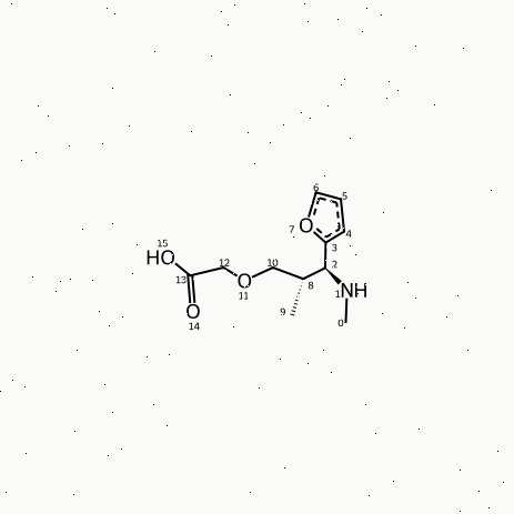 CN[C@H](c1ccco1)[C@H](C)COCC(=O)O